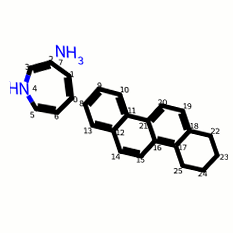 C1=CC=CNC=C1.N.c1ccc2c(c1)ccc1c3c(ccc12)CCCC3